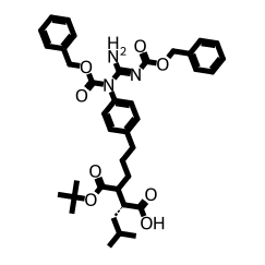 CC(C)C[C@@H](C(=O)O)C(CCCc1ccc(N(C(=O)OCc2ccccc2)C(N)=NC(=O)OCc2ccccc2)cc1)C(=O)OC(C)(C)C